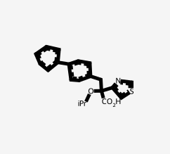 CC(C)OC(Cc1ccc(-c2ccccc2)cc1)(C(=O)O)c1cscn1